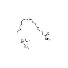 CCCCC/C=C\C/C=C\CCCCCCCC(N)=O.CCO.CCO.N